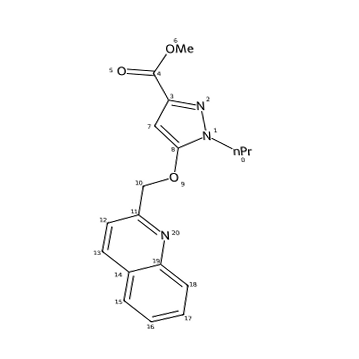 CCCn1nc(C(=O)OC)cc1OCc1ccc2ccccc2n1